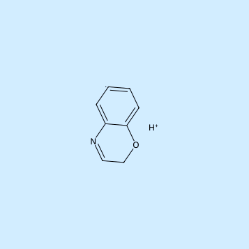 [H+].[c]1ccc2c(c1)N=CCO2